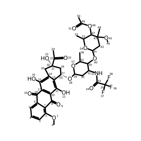 COc1cccc2c1C(=O)c1c(O)c3c(c(O)c1C2=O)C[C@@](O)(C(C)=O)C[C@@H]3OC1CC(NC(=O)C(F)(F)F)C(OC2CC(C)(OC)C(OC(C)=O)C(C)O2)C(C)O1